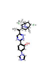 C=C(c1cnc(-c2ccc(-n3ccnc3)cc2O)nn1)[C@@H]1C[C@@H]2N[C@@](C)(C[C@@H]2F)[C@H]1F